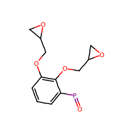 O=Pc1cccc(OCC2CO2)c1OCC1CO1